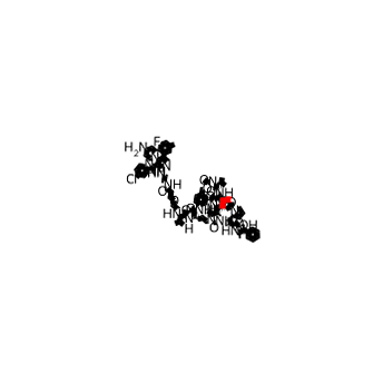 CC[C@H](C)[C@@H]([C@@H](CC(=O)N1CCC[C@H]1C[C@@H](C)C(=O)N[C@H](C)[C@@H](O)c1ccccc1)OC)N(C)C(=O)[C@@H](NC(=O)[C@H](C(C)C)N(C)C(=O)OCc1ccc(NC(=O)[C@H](CCCNC(N)=O)NC(=O)[C@@H](NCCOCCC(=O)NCCNc2ncc(-c3cc(C)cc(F)c3)c(N3CCC(N)CC3)c2-c2nc3ccc(Cl)cc3[nH]2)C(C)C)cc1)C(C)C